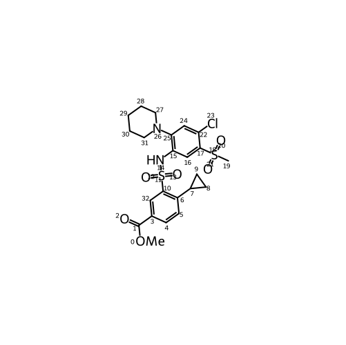 COC(=O)c1ccc(C2CC2)c(S(=O)(=O)Nc2cc(S(C)(=O)=O)c(Cl)cc2N2CCCCC2)c1